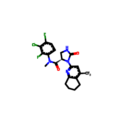 CN(C(=O)[C@@H]1CNC(=O)N1c1cc(C(F)(F)F)c2c(n1)CCCC2)c1ccc(F)c(Cl)c1F